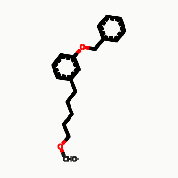 O=[C]OCCCCCc1cccc(OCc2ccccc2)c1